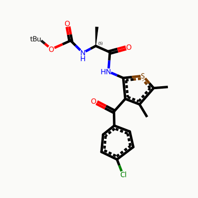 Cc1sc(NC(=O)[C@H](C)NC(=O)OC(C)(C)C)c(C(=O)c2ccc(Cl)cc2)c1C